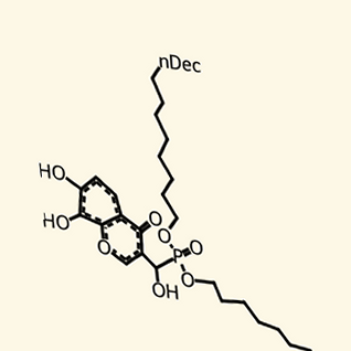 CCCCCCCCCCCCCCCCCCOP(=O)(OCCCCCCCCCCCCCCCCCC)C(O)c1coc2c(O)c(O)ccc2c1=O